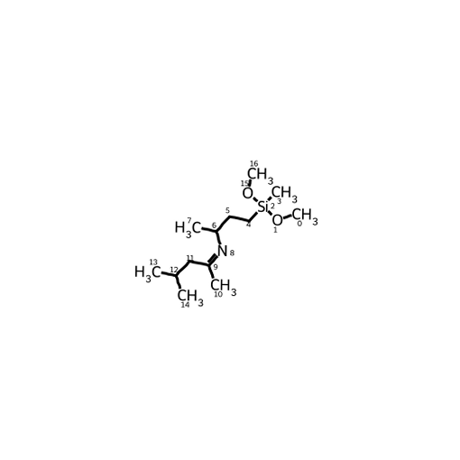 CO[Si](C)(CCC(C)N=C(C)CC(C)C)OC